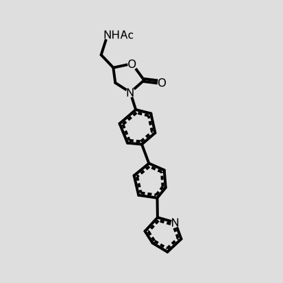 CC(=O)NCC1CN(c2ccc(-c3ccc(-c4ccccn4)cc3)cc2)C(=O)O1